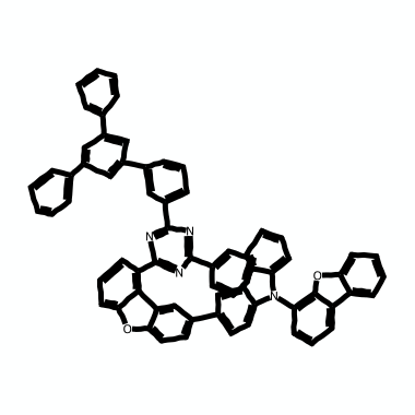 c1ccc(-c2cc(-c3ccccc3)cc(-c3cccc(-c4nc(-c5ccccc5)nc(-c5cccc6oc7ccc(-c8ccc9c(c8)c8ccccc8n9-c8cccc9c8oc8ccccc89)cc7c56)n4)c3)c2)cc1